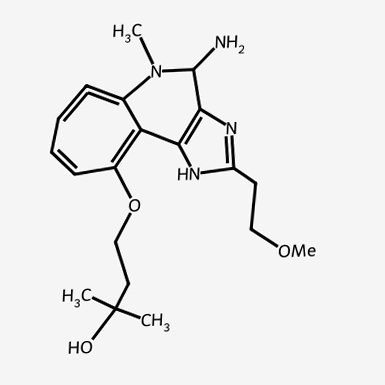 COCCc1nc2c([nH]1)C1=C(OCCC(C)(C)O)C=CC=C=C1N(C)C2N